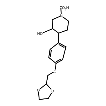 O=C(O)N1CCC(c2ccc(OCC3OCCO3)cc2)C(O)C1